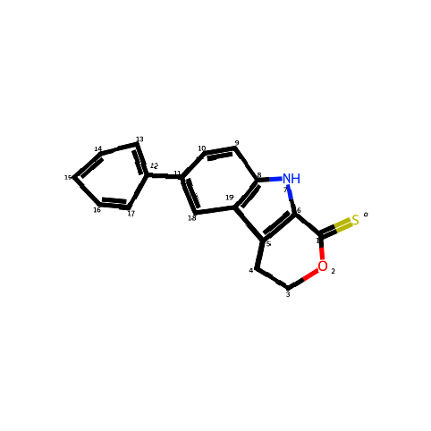 S=C1OCCc2c1[nH]c1ccc(-c3ccccc3)cc21